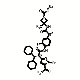 CC(C)n1nc([C@@H](C(=O)Nc2ccc([C@H](C)C(=O)NC3(C(F)(F)F)CN(C(=O)OC(C)(C)C)C3)cc2F)C(C2CCCCC2)C2CCCCC2)cc1C(N)=O